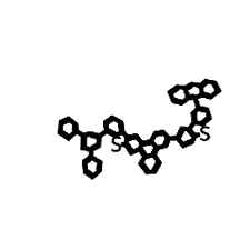 c1ccc(-c2cc(-c3ccccc3)cc(-c3cccc4c3sc3cc5c6ccccc6c6cc(-c7ccc8sc9ccc(-c%10c%11ccccc%11cc%11ccccc%10%11)cc9c8c7)ccc6c5cc34)c2)cc1